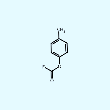 Cc1ccc(OC(=O)F)cc1